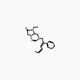 C/C=C\C=C(\CN(C=O)CC1NCC(=O)N1CC)C1=CCCC=C1